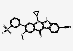 COc1cc2c(=O)c3c4ccc(C#N)cc4[nH]c3n(C3CC3)c2cc1-c1cccc(S(=O)(=O)F)c1